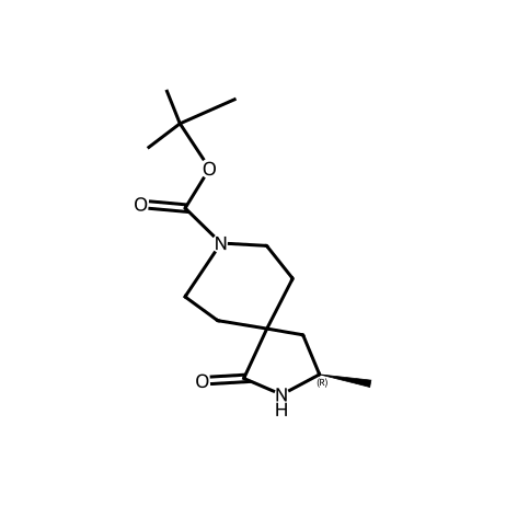 C[C@@H]1CC2(CCN(C(=O)OC(C)(C)C)CC2)C(=O)N1